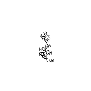 COc1ccc2nccc([C@@H](O)[C@H](O)CNCC3CN(c4ccc5c(c4)NC(=O)CS5)C(=O)O3)c2n1